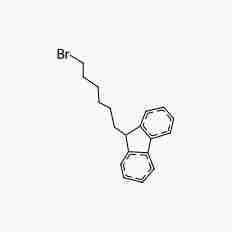 BrCCCCCCC1c2ccccc2-c2ccccc21